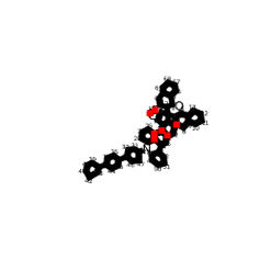 C1=CC2C(Oc3c(ccc4ccccc34)C23c2ccccc2-c2c(-c4cccc(N(c5ccc(-c6ccc(-c7ccccc7)cc6)cc5)c5ccccc5-c5ccccc5)c4)cccc23)c2ccccc21